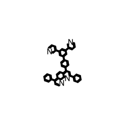 c1ccc(-c2cc(-c3ccc(-c4cc(-c5cccnc5)cc(-c5cccnc5)c4)cc3)c3ccc4c(-c5ccccc5)ccnc4c3n2)cc1